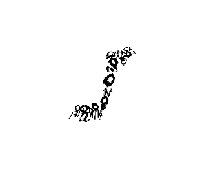 CN(C[C@H]1CC2(CC[C@@H](N(C)C[C@H]3CC[C@H](c4nc5cc(C(C)(C)O)c(NC(=O)c6cccc(C(F)(F)F)n6)cc5s4)CC3)CC2)C1)c1cccc2c1n(C)c(=O)n2C1CCC(=O)NC1=O